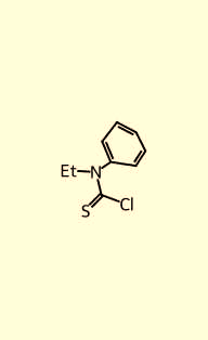 CCN(C(=S)Cl)c1ccccc1